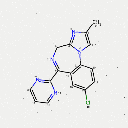 Cc1cn2c(n1)CN=C(c1ncccn1)c1cc(Cl)ccc1-2